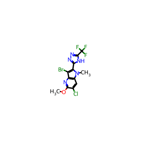 COc1nc2c(Br)c(-c3nnc(C(F)(F)F)[nH]3)n(C)c2cc1Cl